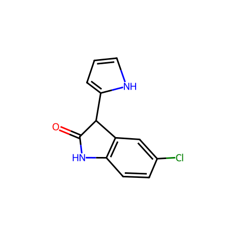 O=C1Nc2ccc(Cl)cc2C1c1ccc[nH]1